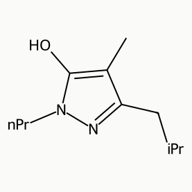 CCCn1nc(CC(C)C)c(C)c1O